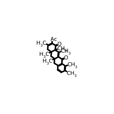 CC(=O)C1=C(C)CC2(C)CC3(C)Cc4ccc(C)c(C)c4C(=O)C3=C(C)C2(C)C1=O